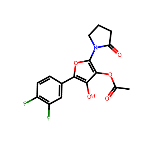 CC(=O)Oc1c(N2CCCC2=O)oc(-c2ccc(F)c(F)c2)c1O